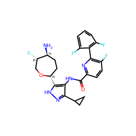 N[C@H]1CC[C@H](c2[nH]nc(C3CC3)c2NC(=O)c2ccc(F)c(-c3c(F)cccc3F)n2)OC[C@@H]1F